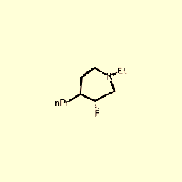 CCCC1CCN(CC)C[C@@H]1F